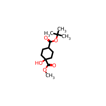 COC(=O)C1(O)CCC(C(=O)OC(C)(C)C)CC1